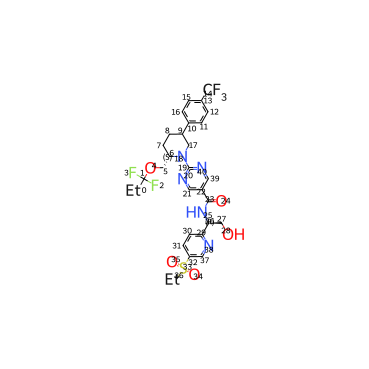 CCC(F)(F)OC[C@@H]1CCC(c2ccc(C(F)(F)F)cc2)CN1c1ncc(C(=O)N[C@@H](CO)c2ccc(S(=O)(=O)CC)cn2)cn1